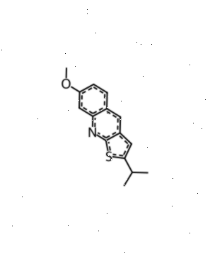 COc1ccc2cc3cc(C(C)C)sc3nc2c1